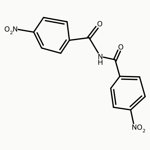 O=C(NC(=O)c1ccc([N+](=O)[O-])cc1)c1ccc([N+](=O)[O-])cc1